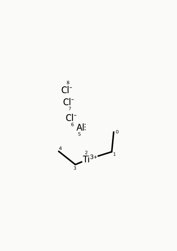 C[CH2][Ti+3][CH2]C.[Al].[Cl-].[Cl-].[Cl-]